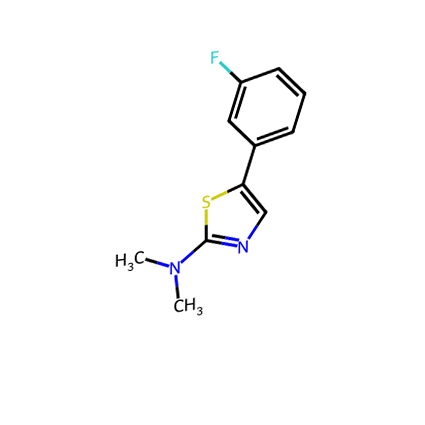 CN(C)c1ncc(-c2cccc(F)c2)s1